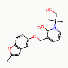 Cc1cc2cc(OCC3=CC=CN(C(C)(C)CO)C3O)ccc2o1